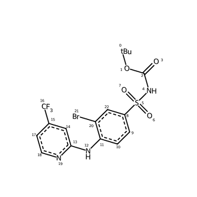 CC(C)(C)OC(=O)NS(=O)(=O)c1ccc(Nc2cc(C(F)(F)F)ccn2)c(Br)c1